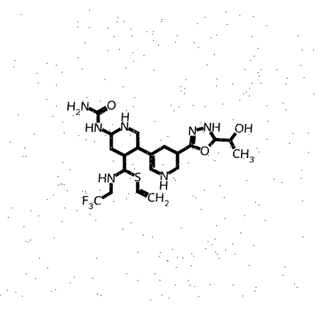 C=CSC(NCC(F)(F)F)C1CC(NC(N)=O)NCC1C1=CNCC(C2=NNC(C(C)O)O2)C1